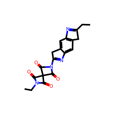 CCC1=Nc2cc3c(cc2C1)N=C(N1C(=O)C2(C(=O)N(CC)C2=O)C1=O)C3